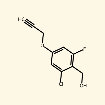 C#CCOc1cc(F)c(CO)c(Cl)c1